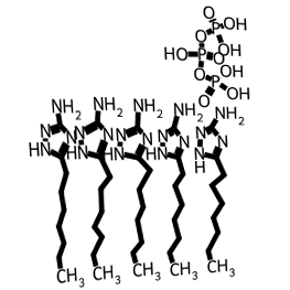 CCCCCCCc1nc(N)n[nH]1.CCCCCCCc1nc(N)n[nH]1.CCCCCCCc1nc(N)n[nH]1.CCCCCCCc1nc(N)n[nH]1.CCCCCCCc1nc(N)n[nH]1.O=P(O)(O)OP(=O)(O)OP(=O)(O)O